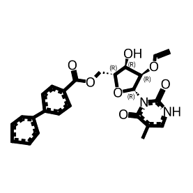 C=CO[C@@H]1[C@H](O)[C@@H](COC(=O)c2ccc(-c3ccccc3)cc2)O[C@H]1n1c(=O)[nH]cc(C)c1=O